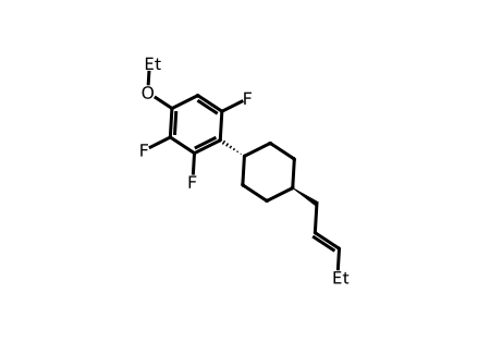 CC/C=C/C[C@H]1CC[C@H](c2c(F)cc(OCC)c(F)c2F)CC1